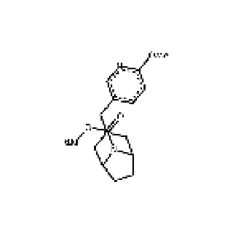 COc1ccc(CN2CC3CCC(C2)N3C(=O)OC(C)(C)C)cn1